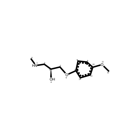 CNC[C@H](O)COc1ccc(OC)cc1